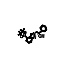 CC1(C)OB(c2cccc3nn(C[C@H](O)c4ccccc4)cc23)OC1(C)C